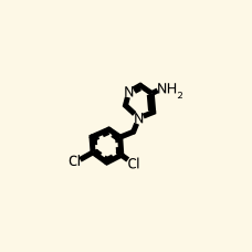 NC1=CN(Cc2ccc(Cl)cc2Cl)CN=C1